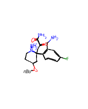 CCCCOC1CCN(N)C(C(=O)C(N)=O)(c2ccc(F)cc2CN)C1